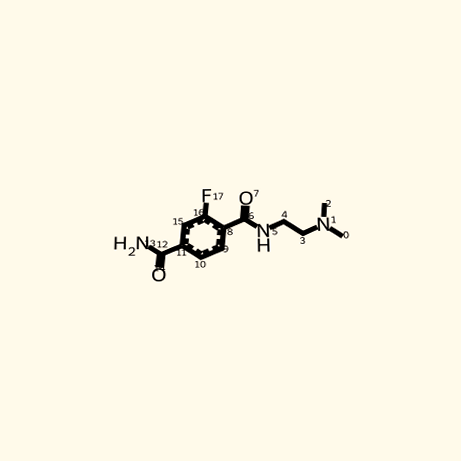 CN(C)CCNC(=O)c1ccc(C(N)=O)cc1F